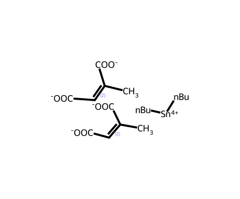 C/C(=C/C(=O)[O-])C(=O)[O-].C/C(=C/C(=O)[O-])C(=O)[O-].CCC[CH2][Sn+4][CH2]CCC